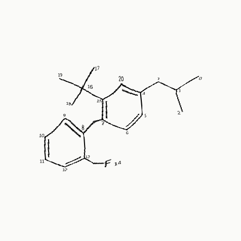 CC(C)Cc1ccc(-c2ccccc2F)c(C(C)(C)C)c1